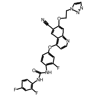 N#Cc1cc2c(Oc3ccc(NC(=O)Nc4ccc(F)cc4F)c(F)c3)ccnc2cc1OCCn1ccnn1